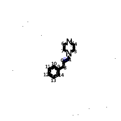 C(=C\N1CC[N]CC1)/Cc1ccccc1